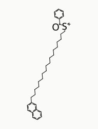 C[S+](CCCCCCCCCCCCCCCCCCc1ccc2ccccc2c1)C(=O)c1ccccc1